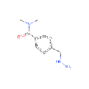 CN(C)C(=O)c1ccc(CNN)cc1